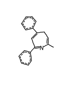 CC1=CCC(c2ccccc2)=CC(c2ccccc2)=N1